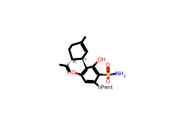 C=C(C)[C@@H]1CCC(C)=C[C@H]1c1c(O)cc(CCCCC)c(S(N)(=O)=O)c1O